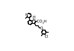 Cc1cc(OCCCc2c(C(=O)O)[nH]c3c(-c4cccnc4C)cccc23)cc(C)c1Cl